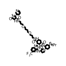 CC(C)N(C)[C@@H]1CC[C@H](N2CC[C@H](Nc3ncnc4ccc(C(F)(F)F)cc34)C2=O)[C@H](NC(=O)[C@H]2CC[C@H](C(=O)NCCCOCCCCOCCCNC(=O)[C@H]3CC(=O)N(C)[C@@H]3c3cccnc3)CC2)C1